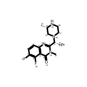 CCC[C@H](c1nc2ccc(F)c(F)c2c(=O)n1C)N1CCN[C@@H](C)C1